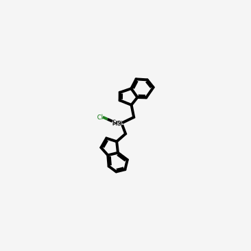 [Cl][Sc][SiH](CC1C=Cc2ccccc21)CC1C=Cc2ccccc21